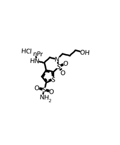 CCCNC1CN(CCCO)S(=O)(=O)c2sc(S(N)(=O)=O)cc21.Cl